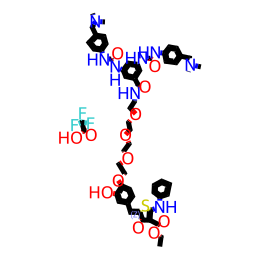 CCOC(=O)C1=C(Nc2ccccc2)S/C(=C\c2ccc(OCCOCCOCCOCCNC(=O)c3cc(NC(=O)Nc4ccc(CN(C)C)cc4)cc(NC(=O)Nc4ccc(CN(C)C)cc4)c3)c(O)c2)C1=O.O=C(O)C(F)(F)F